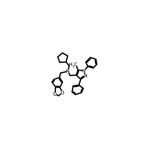 Cc1c(CN(Cc2ccc3c(c2)OCO3)CC2CCCC2)c(-c2ccccc2)nn1-c1ccccc1